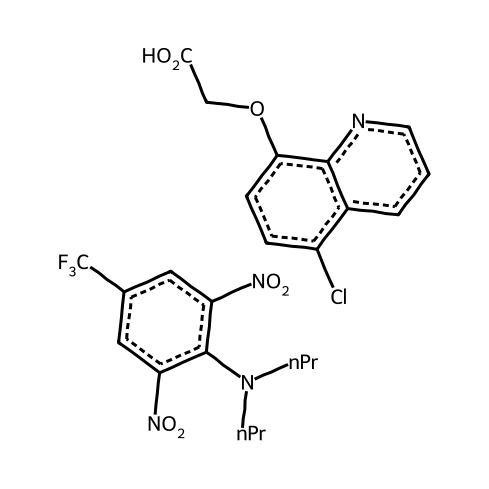 CCCN(CCC)c1c([N+](=O)[O-])cc(C(F)(F)F)cc1[N+](=O)[O-].O=C(O)COc1ccc(Cl)c2cccnc12